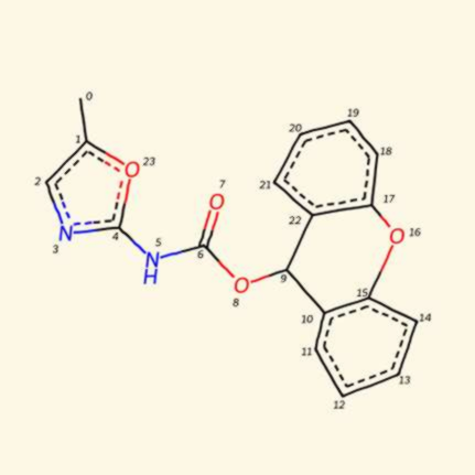 Cc1cnc(NC(=O)OC2c3ccccc3Oc3ccccc32)o1